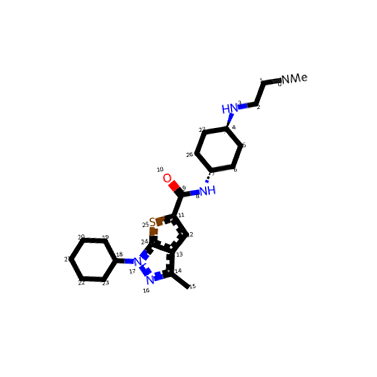 CNCCN[C@H]1CC[C@H](NC(=O)c2cc3c(C)nn(C4CCCCC4)c3s2)CC1